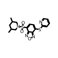 CC1CC(C)CN(S(=O)(=O)c2ccc(Sc3ccccn3)c3nonc23)C1